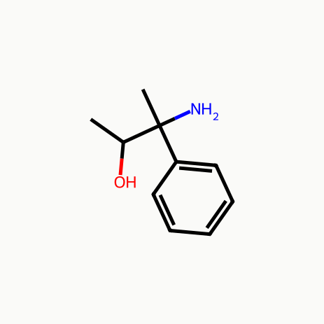 CC(O)C(C)(N)c1ccccc1